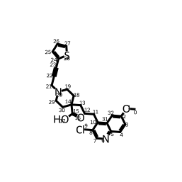 COc1ccc2ncc(Cl)c(CCCC3(C(=O)O)CCN(CC#Cc4cccs4)CC3)c2c1